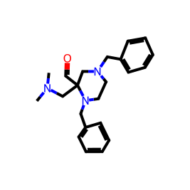 CN(C)CC1(C=O)CN(Cc2ccccc2)CCN1Cc1ccccc1